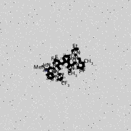 CCc1cnc(NCC2[C@H](C)CC(F)(F)CN2C(=O)c2nn(C)cc2-c2ccccc2CC2CC(F)(F)CN(C(=O)C(=N)/C(=C\NC)c3ccccc3)C2CNc2ncc(C(F)(F)F)cn2)nc1